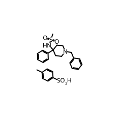 CS(=O)(=O)NC1(c2ccccc2)CCN(Cc2ccccc2)CC1.Cc1ccc(S(=O)(=O)O)cc1